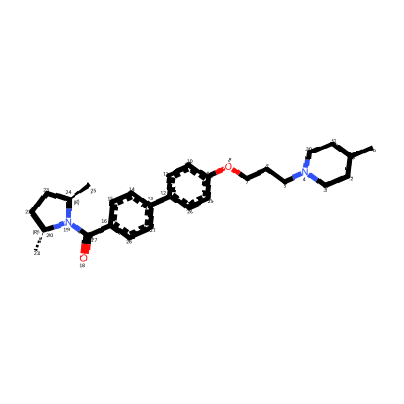 CC1CCN(CCCOc2ccc(-c3ccc(C(=O)N4[C@H](C)CC[C@H]4C)cc3)cc2)CC1